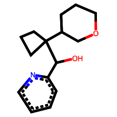 OC(c1ccccn1)C1(C2CCCOC2)CCC1